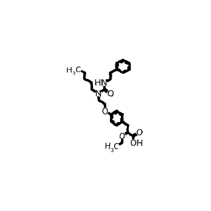 CCCCCN(CCOc1ccc(CC(OCC)C(=O)O)cc1)C(=O)NCCc1ccccc1